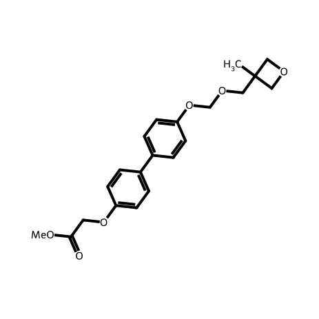 COC(=O)COc1ccc(-c2ccc(OCOCC3(C)COC3)cc2)cc1